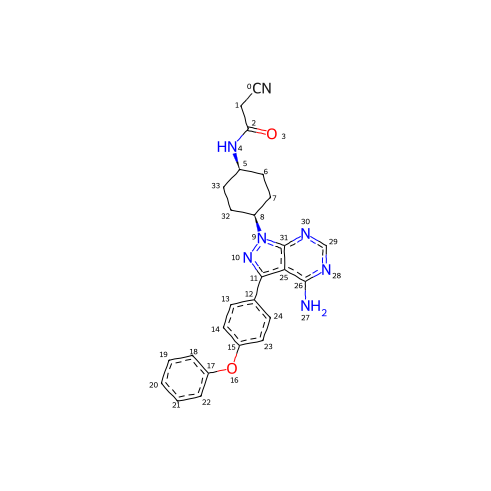 N#CCC(=O)N[C@H]1CC[C@@H](n2nc(-c3ccc(Oc4ccccc4)cc3)c3c(N)ncnc32)CC1